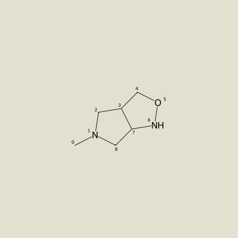 CN1CC2CONC2C1